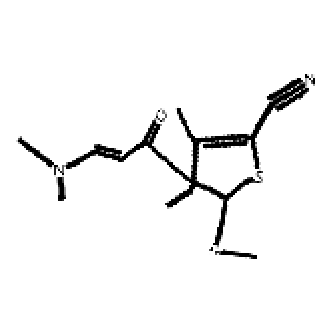 CSC1SC(C#N)=C(C)C1(C)C(=O)C=CN(C)C